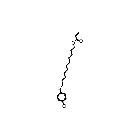 C=CC(=O)OCCCCCCCCCCCSc1ccc(Cl)cc1